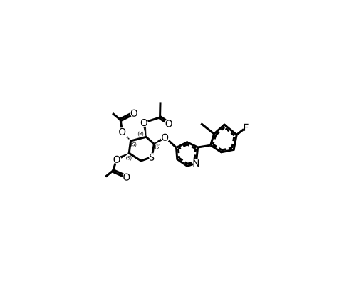 CC(=O)O[C@@H]1[C@@H](OC(C)=O)[C@@H](Oc2ccnc(-c3ccc(F)cc3C)c2)SC[C@H]1OC(C)=O